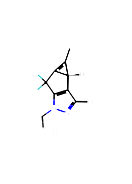 CC1=C2[C@H]1c1c(C(F)(F)F)nn(CC(=O)O)c1C2(F)F